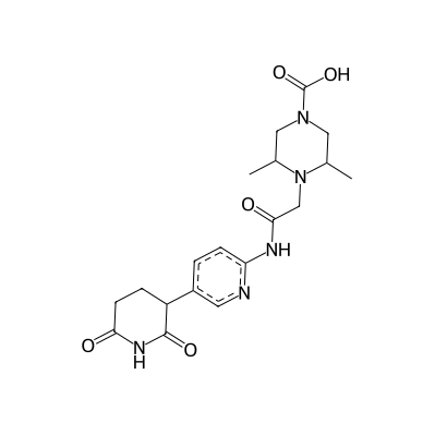 CC1CN(C(=O)O)CC(C)N1CC(=O)Nc1ccc(C2CCC(=O)NC2=O)cn1